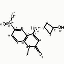 Cn1c(=O)cc(N[C@H]2C[C@H](O)C2)c2cc([N+](=O)[O-])ccc21